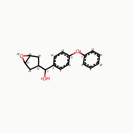 OC(c1ccc(Oc2ccccc2)cc1)C1CC2OC2C1